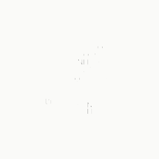 NC(=O)c1c(C(=O)O)ccc2c1CC(Nc1ccc(Br)cc1)CC2